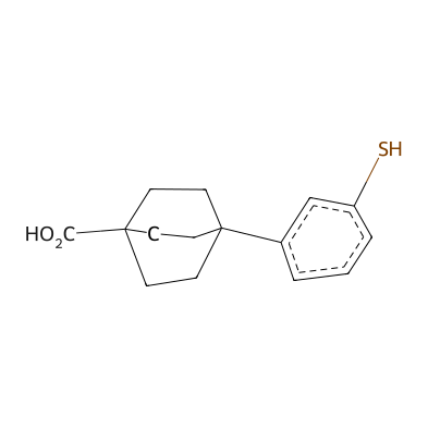 O=C(O)C12CCC(c3cccc(S)c3)(CC1)CC2